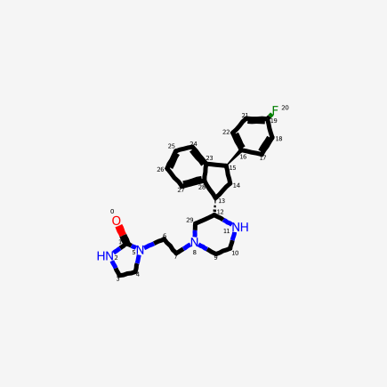 O=C1NCCN1CCN1CCNC([C@H]2C[C@H](c3ccc(F)cc3)c3ccccc32)C1